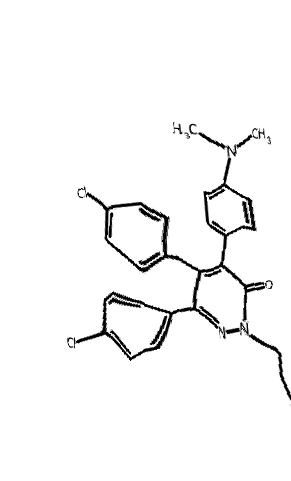 CN(C)c1ccc(-c2c(-c3ccc(Cl)cc3)c(-c3ccc(Cl)cc3)nn(CCO)c2=O)cc1